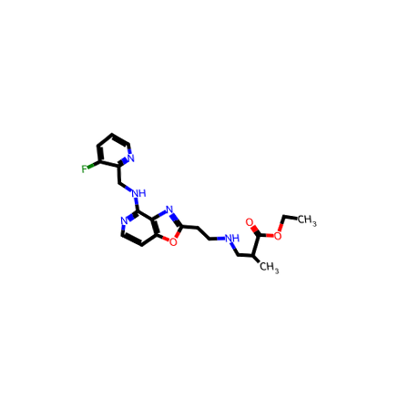 CCOC(=O)C(C)CNCCc1nc2c(NCc3ncccc3F)nccc2o1